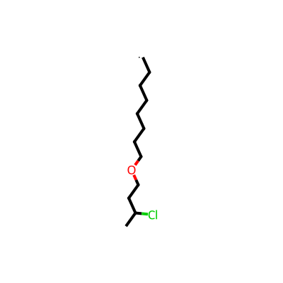 [CH2]CCCCCCCOCCC(C)Cl